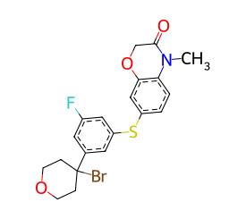 CN1C(=O)COc2cc(Sc3cc(F)cc(C4(Br)CCOCC4)c3)ccc21